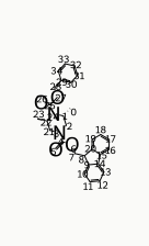 C[C@@H]1CN(C(=O)OCC2c3ccccc3-c3ccccc32)C[C@@H](C)N1C(=O)OCc1ccccc1